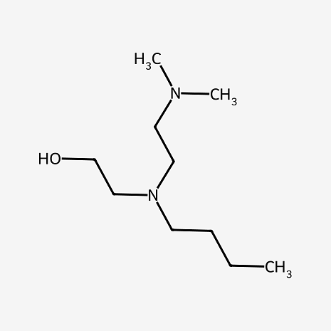 CCCCN(CCO)CCN(C)C